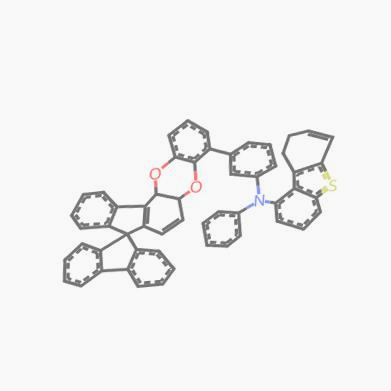 C1=Cc2sc3cccc(N(c4ccccc4)c4cccc(-c5cccc6c5OC5C=CC7=C(c8ccccc8C78c7ccccc7-c7ccccc78)C5O6)c4)c3c2CC1